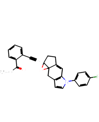 COC(=O)c1ccccc1C#C[C@]12CCC3=Cc4c(ccn4-c4ccc(F)cc4)CC31O2